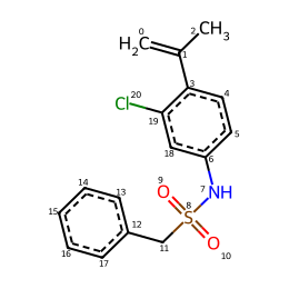 C=C(C)c1ccc(NS(=O)(=O)Cc2ccccc2)cc1Cl